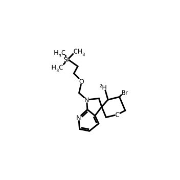 [2H]C1C(Br)CCCC12CN(COCC[Si](C)(C)C)c1ncccc12